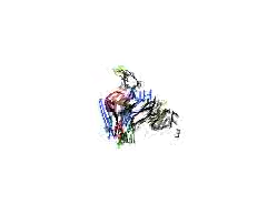 C[C@](C(=O)NC1CCC(F)(F)CC1)(c1cncnc1)N(C(=O)[C@H](F)Cl)c1ccc(SC(F)(F)F)cc1